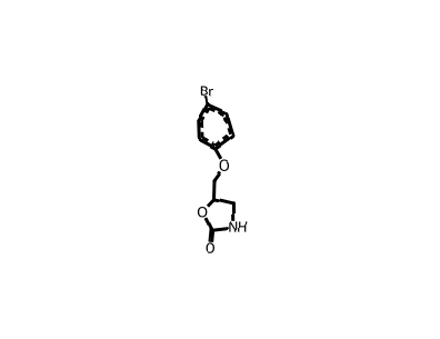 O=C1NCC(COc2ccc(Br)cc2)O1